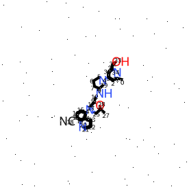 Cc1cc(N2CCCC(NCC3CN(c4ccc(C#N)c5ncccc45)CC(C)O3)C2)cc(CO)n1